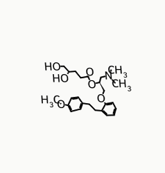 COc1ccc(CCc2ccccc2OC[C@H](CN(C)C)OC(=O)CC[C@@H](O)CO)cc1